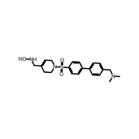 CN(C)Cc1ccc(-c2ccc(S(=O)(=O)N3CC=C(CNO)CC3)cc2)cc1